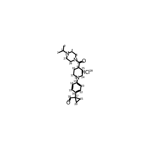 CC(C)N1CCN(C(=O)C2CCN(c3ccc(C4(C=O)CC4)cc3)CC2)CC1.Cl